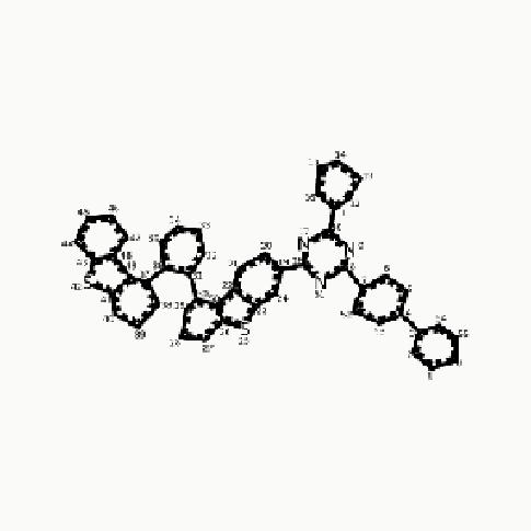 c1ccc(-c2ccc(-c3nc(-c4ccccc4)nc(-c4ccc5c(c4)sc4cccc(-c6ccccc6-c6cccc7sc8ccccc8c67)c45)n3)cc2)cc1